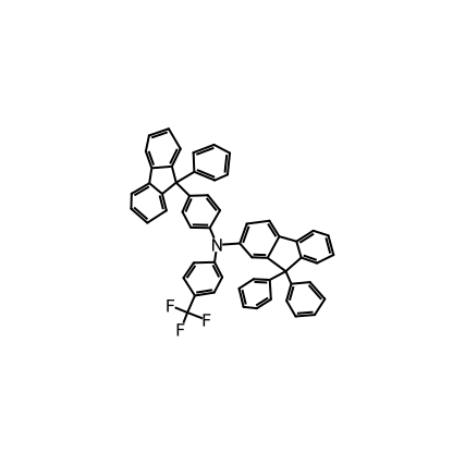 FC(F)(F)c1ccc(N(c2ccc(C3(c4ccccc4)c4ccccc4-c4ccccc43)cc2)c2ccc3c(c2)C(c2ccccc2)(c2ccccc2)c2ccccc2-3)cc1